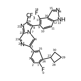 Fc1ccc(-c2cn3c(-c4ccc5[nH]ncc5c4F)c(C(F)(F)F)nc3cn2)cc1C1CCC1